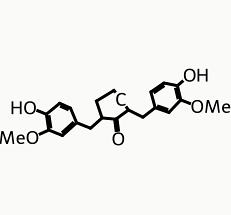 COc1cc(CC2CCCC(Cc3ccc(O)c(OC)c3)C2=O)ccc1O